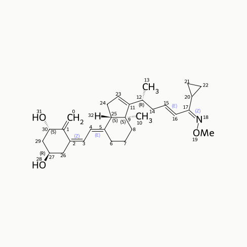 C=C1/C(=C\C=C2/CCC[C@]3(C)C([C@H](C)C/C=C/C(=N\OC)C4CC4)=CC[C@@H]23)C[C@@H](O)C[C@@H]1O